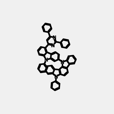 c1ccc(-c2cc(-c3cccc4c3c3ccc(-n5c6ccccc6c6ccc7c(c8ccccc8n7-c7ccccc7)c65)cc3n4-c3ccccc3)nc(-c3ccccc3)n2)cc1